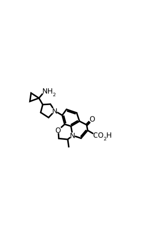 CC1COc2c(N3CCC(C4(N)CC4)C3)ccc3c(=O)c(C(=O)O)cn1c23